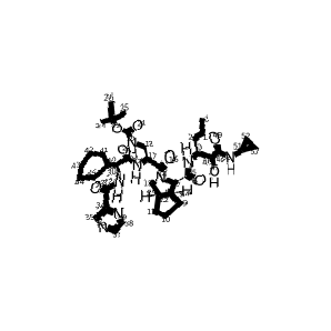 CCC[C@H](NC(=O)[C@@H]1[C@H]2CCC[C@H]2CN1C(=O)[C@H](CNC(=O)OC(C)(C)C)NC(=O)[C@@H](NC(=O)c1cnccn1)C1CCCCC1)C(O)C(=O)NC1CC1